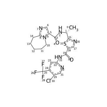 C[C@@H](NC(=O)c1cnc2n1CCCCC2)c1ncc(C(=O)Nc2cc(C(F)(F)F)c(Cl)cn2)s1